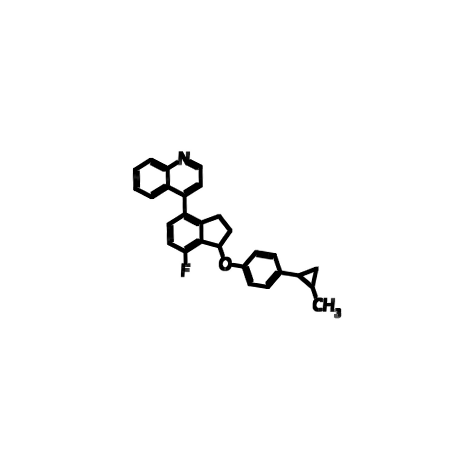 CC1CC1c1ccc(OC2CCc3c(-c4ccnc5ccccc45)ccc(F)c32)cc1